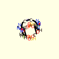 O=[P@]1(S)OCC2O[C@@H]3[C@H](F)[C@@H]2O[P@](=O)(S)OC[C@H]2O[C@H]([C@H](F)[C@@H]2O1)n1cnc2c(ncnc21)CC/C=C/CCc1ncnc2c1ncn23